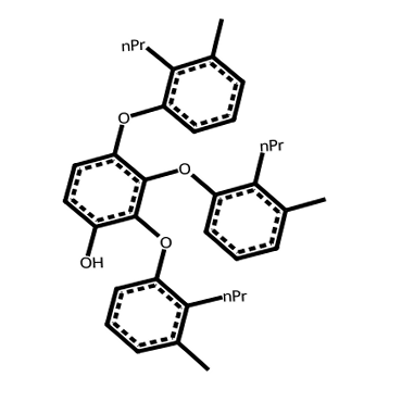 CCCc1c(C)cccc1Oc1ccc(O)c(Oc2cccc(C)c2CCC)c1Oc1cccc(C)c1CCC